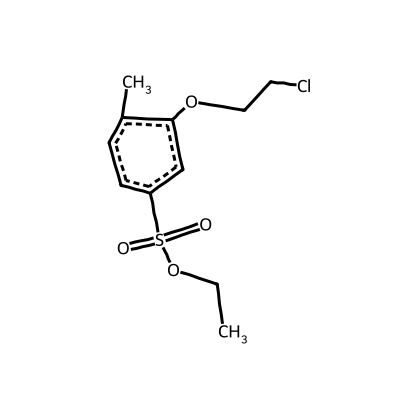 CCOS(=O)(=O)c1ccc(C)c(OCCCl)c1